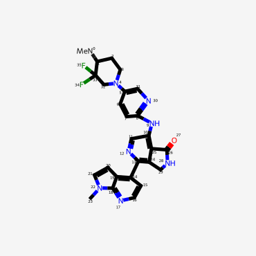 CNC1CCN(c2ccc(Nc3cnc(-c4ccnc5c4ccn5C)c4c3C(=O)NC4)nc2)CC1(F)F